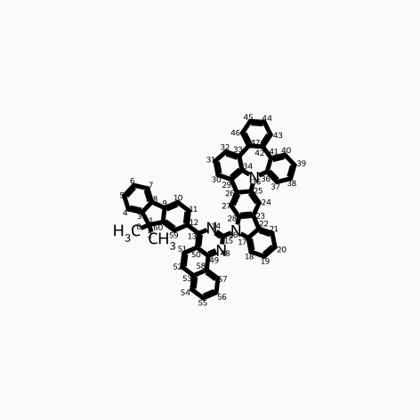 CC1(C)c2ccccc2-c2ccc(-c3nc(-n4c5ccccc5c5cc6c(cc54)c4cccc5c4n6-c4ccccc4-c4ccccc4-5)nc4c3ccc3ccccc34)cc21